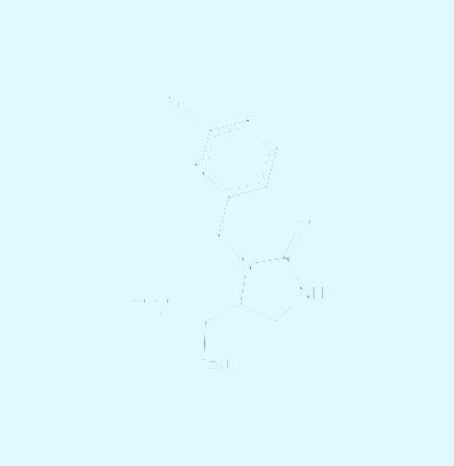 CC(=O)c1cccc(CN2C(=O)NCC2[C@@H](C(=O)O)C(C)(C)C)n1